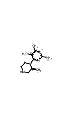 C=C1CNCCN1c1nc(N)nc(C)c1C